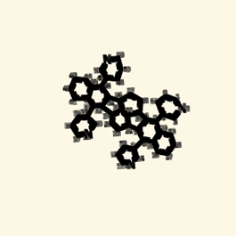 c1cncc(-c2c3c(c(-c4cccnc4)c4ccccc24)-c2ccc4c5c(ccc-3c25)-c2c-4c(-c3cccnc3)c3ccccc3c2-c2cccnc2)c1